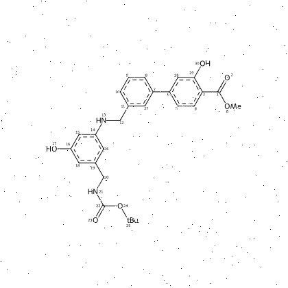 COC(=O)c1ccc(-c2cccc(CNc3cc(O)cc(CNC(=O)OC(C)(C)C)c3)c2)cc1O